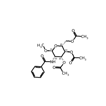 CO[C@H]1O[C@H](COC(C)=O)[C@@H](OC(C)=O)[C@H](OC(C)=O)[C@@H]1NC(=O)c1ccccc1